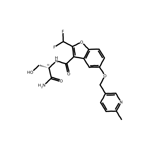 Cc1ccc(COc2ccc3oc(C(F)F)c(C(=O)N[C@@H](CO)C(N)=O)c3c2)cn1